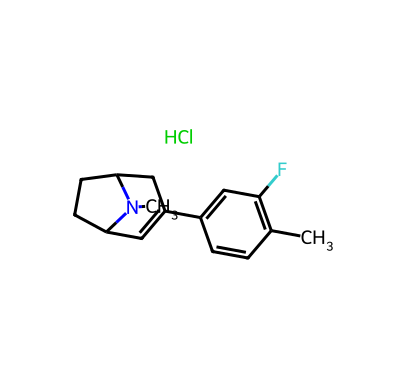 Cc1ccc(C2=CC3CCC(C2)N3C)cc1F.Cl